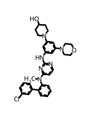 CN(c1ccnc(Nc2cc(N3CCOCC3)cc(N3CCC(O)CC3)c2)n1)c1ccccc1-c1cccc(Cl)c1